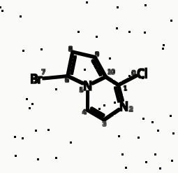 Clc1nccn2c(Br)ccc12